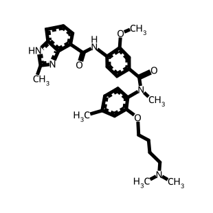 COc1cc(C(=O)N(C)c2ccc(C)cc2OCCCCN(C)C)ccc1NC(=O)c1cccc2[nH]c(C)nc12